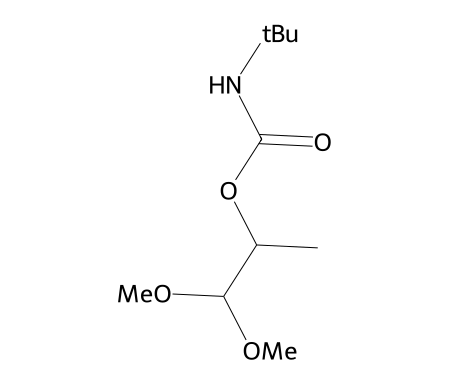 COC(OC)C(C)OC(=O)NC(C)(C)C